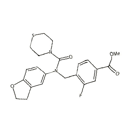 COC(=O)c1ccc(CN(C(=O)N2CCSCC2)c2ccc3c(c2)CCO3)c(F)c1